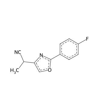 CC(C#N)c1coc(-c2ccc(F)cc2)n1